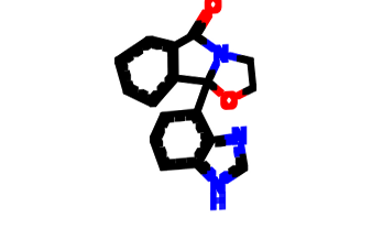 O=C1c2ccccc2C2(c3cccc4[nH]cnc34)OCCN12